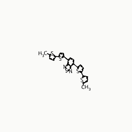 Cc1ccc(-c2ccc(-c3ccc(-c4ccc(-c5ccc(C)s5)s4)c4nsnc34)s2)s1